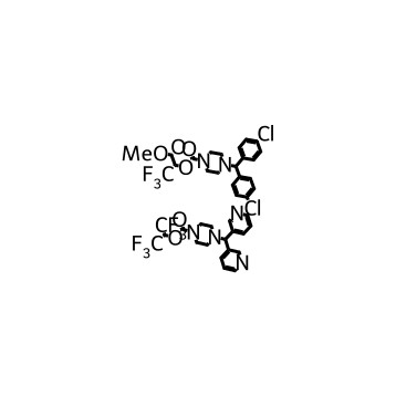 COC(=O)C(OC(=O)N1CCN(C(c2ccc(Cl)cc2)c2ccc(Cl)cc2)CC1)C(F)(F)F.O=C(OC(C(F)(F)F)C(F)(F)F)N1CCN(C(c2cccnc2)c2cccnc2)CC1